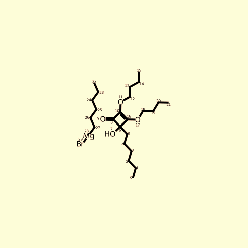 CCCCCCC1(O)C(=O)C(OCCCC)=C1OCCCC.CCCCC[CH2][Mg][Br]